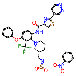 O=C(Nc1ccc(Oc2ccccc2)c(C(F)(F)F)c1N1CCC[C@H](CN=S(=O)=O)C1)c1csc(-c2ccnnc2)n1.O=[N+]([O-])c1ccccc1